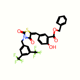 O=C(OCc1ccccc1)c1cc(/C=C2/SC(=O)N(Cc3cc(C(F)(F)F)cc(C(F)(F)F)c3)C2=O)ccc1O